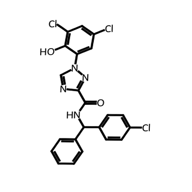 O=C(NC(c1ccccc1)c1ccc(Cl)cc1)c1ncn(-c2cc(Cl)cc(Cl)c2O)n1